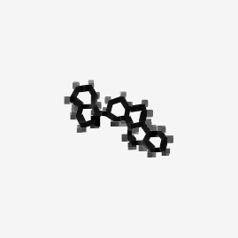 c1ccc2c(C3CCc4ccc5c(ccc6ccccc65)c4C3)nccc2c1